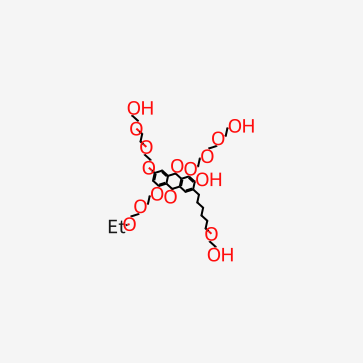 CCOCCOCCOc1cc(OCCOCCOCCO)cc2c1C(=O)c1cc(CCCCCCOCCO)c(O)c(OCCOCCOCCO)c1C2=O